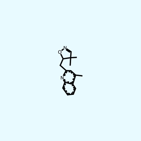 Cc1cc(CC2ON=CC2(C)C)nc2ccccc12